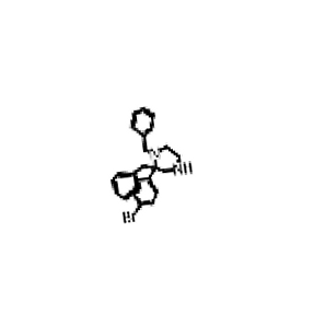 Brc1ccc(C2(Cc3ccccc3)CNCCN2Cc2ccccc2)cc1